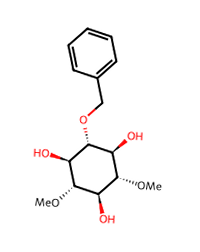 CO[C@@H]1[C@@H](O)[C@H](OC)[C@@H](O)[C@H](OCc2ccccc2)[C@H]1O